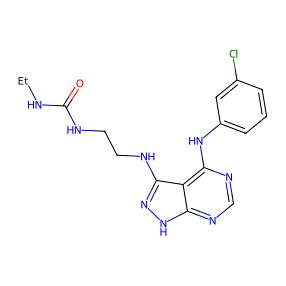 CCNC(=O)NCCNc1n[nH]c2ncnc(Nc3cccc(Cl)c3)c12